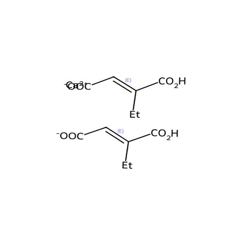 CC/C(=C\C(=O)[O-])C(=O)O.CC/C(=C\C(=O)[O-])C(=O)O.[Ca+2]